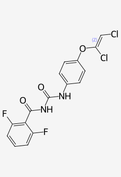 O=C(NC(=O)c1c(F)cccc1F)Nc1ccc(O/C(Cl)=C/Cl)cc1